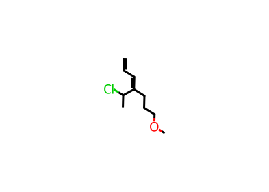 C=C/C=C(/CCCOC)C(C)Cl